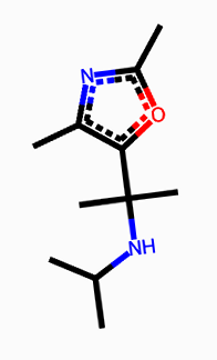 Cc1nc(C)c(C(C)(C)NC(C)C)o1